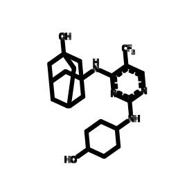 OC1CCC(Nc2ncc(C(F)(F)F)c(NC34CC5CC(CC(O)(C5)C3)C4)n2)CC1